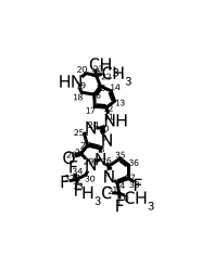 CC(C)(F)c1nc(-n2c3nc(Nc4ccc5c(c4)CNCC5(C)C)ncc3c(=O)n2CC(F)(F)F)ccc1F